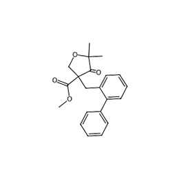 COC(=O)C1(Cc2ccccc2-c2ccccc2)COC(C)(C)C1=O